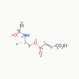 CCOC(=O)/C=C/C(=O)OC[C@H](C)NC(=O)CC